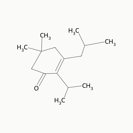 CC(C)CC1=C(C(C)C)C(=O)CC(C)(C)C1